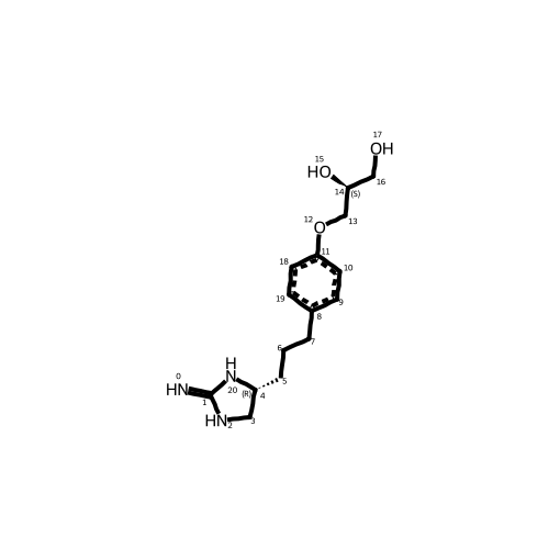 N=C1NC[C@@H](CCCc2ccc(OC[C@@H](O)CO)cc2)N1